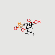 CC(C)(CC(=O)O)O[PH2]=O